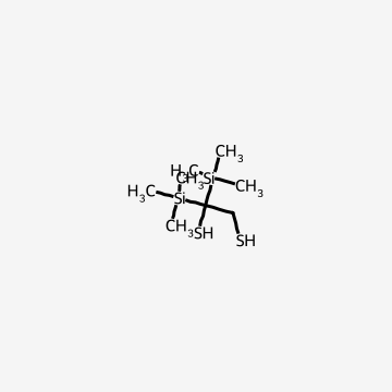 C[Si](C)(C)C(S)(CS)[Si](C)(C)C